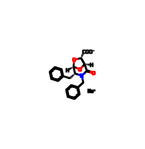 O=C([O-])[C@H]1O[C@H]2O[C@@H]1C(=O)N(Cc1ccccc1)[C@@H]2Cc1ccccc1.[Na+]